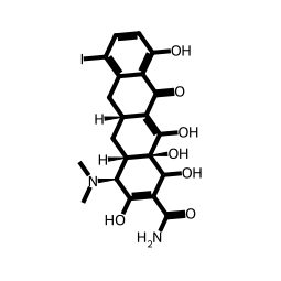 CN(C)[C@@H]1C(O)=C(C(N)=O)C(O)[C@@]2(O)C(O)=C3C(=O)c4c(O)ccc(I)c4C[C@H]3C[C@@H]12